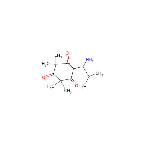 CC(C)C(N)C1C(=O)C(C)(C)C(=O)C(C)(C)C1=O